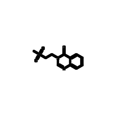 CS(=O)(=O)CCn1cnc2ccccc2c1=O